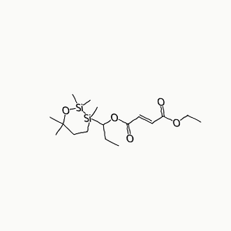 CCOC(=O)C=CC(=O)OC(CC)[Si]1(C)CCC(C)(C)O[Si]1(C)C